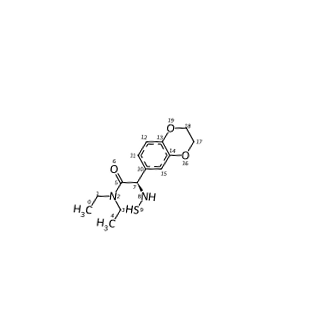 CCN(CC)C(=O)[C@H](NS)c1ccc2c(c1)OCCO2